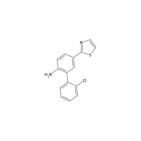 Nc1ccc(-c2nccs2)cc1-c1ccccc1Cl